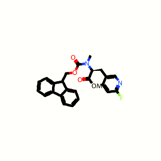 COC(=O)[C@H](Cc1ccc(F)nc1)N(C)C(=O)OCC1c2ccccc2-c2ccccc21